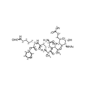 CCCC(=O)OC[C@H]1O[C@H](O)[C@H](NC(C)=O)[C@@H](OC(C)CN(C(=O)[C@H](C)N)[C@H](CCC(=O)N[C@@H](CCCCNC=O)C(=O)Oc2cccnc2)C(N)=O)[C@@H]1O